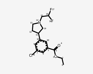 CCOC(=O)c1cc(Cl)cc(C2CCN(CC(F)F)C2)c1